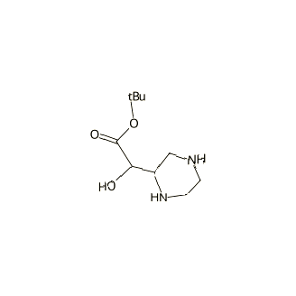 CC(C)(C)OC(=O)C(O)C1CNCCN1